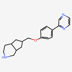 c1cnc(-c2ccc(OCC3CC4CCNCC4C3)cc2)cn1